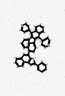 c1ccc(-c2cc3c(s2)c(-c2ccc4c5c(cccc25)-c2c-4c(-c4ccncc4)c4ccccc4c2-c2ccncc2)cc2ccccc23)cc1